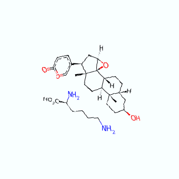 C[C@]12CC[C@H](O)C[C@H]1CC[C@@H]1[C@@H]2CC[C@]2(C)[C@@H](c3ccc(=O)oc3)C[C@H]3O[C@]132.NCCCC[C@H](N)C(=O)O